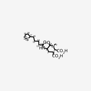 CN(CC(=O)O)C(=O)C(CCC(=O)O)NC(=O)CCCCC1CCSS1